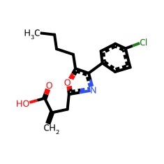 C=C(Cc1nc(-c2ccc(Cl)cc2)c(CCCC)o1)C(=O)O